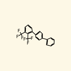 FC(F)(F)c1cccc(-c2ccc(-c3ccccc3)cc2)c1C(F)(F)F